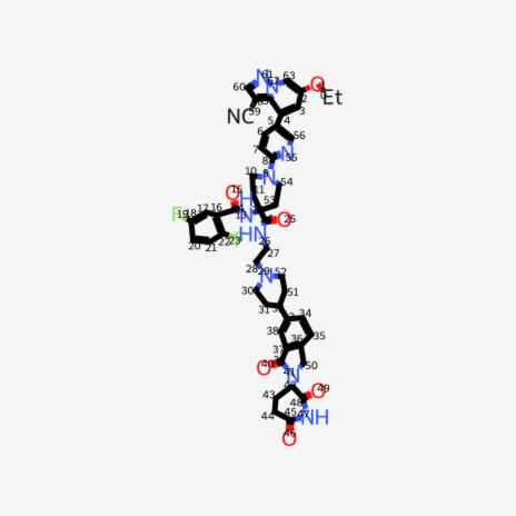 CCOc1cc(-c2ccc(N3CCC(NC(=O)c4cc(F)ccc4F)(C(=O)NCCN4CCC(c5ccc6c(c5)C(=O)N(C5CCC(=O)NC5=O)C6)CC4)CC3)nc2)c2c(C#N)cnn2c1